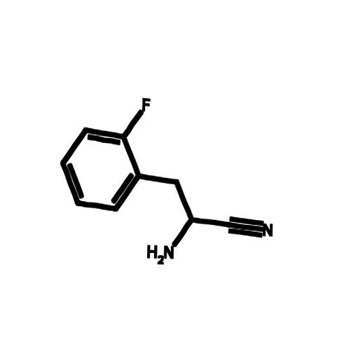 N#CC(N)Cc1ccccc1F